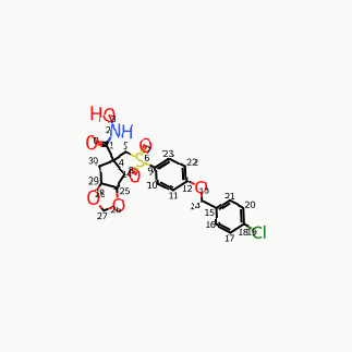 O=C(NO)C1(CS(=O)(=O)c2ccc(OCc3ccc(Cl)cc3)cc2)CC2OCOC2C1